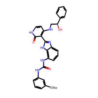 COc1cccc(NC(=O)Nc2cccc3nc(-c4c(NC[C@H](O)c5ccccc5)cc[nH]c4=O)[nH]c23)c1